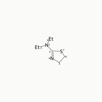 CCN(CC)C1=NCCS1